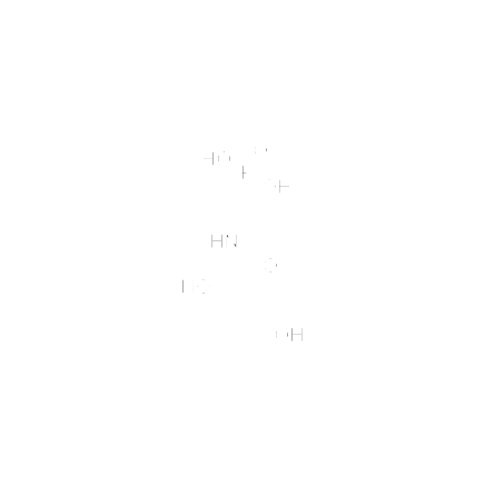 CC(C)(CO)C(O)C(=O)NCCP(=O)(O)O